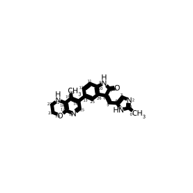 Cc1ncc(/C=C2\C(=O)Nc3ccc(-c4cnc5c(c4C)NCCO5)cc32)[nH]1